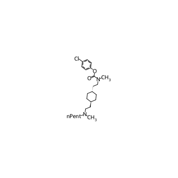 CCCCCN(C)CC[C@H]1CC[C@H](CCN(C)C(=O)Oc2ccc(Cl)cc2)CC1